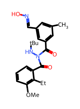 CCc1c(OC)cccc1C(=O)N(NC(C)(C)C)C(=O)c1cc(C)cc(C=NO)c1